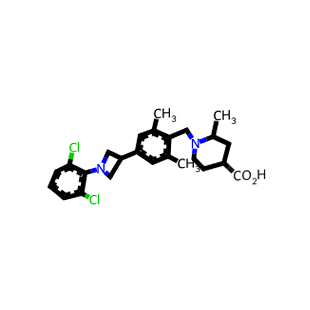 Cc1cc(C2CN(c3c(Cl)cccc3Cl)C2)cc(C)c1CN1CCC(C(=O)O)CC1C